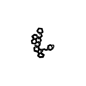 c1cnc2c(c1)CCCC2N(CCCN1CCCCC1)Cc1nccc2c3ccccc3n(CCN3CCOCC3)c12